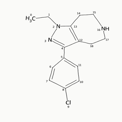 CCn1nc(-c2ccc(Cl)cc2)c2c1CCNCC2